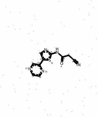 N#CCC(=O)Nc1ncc(-c2cnccn2)s1